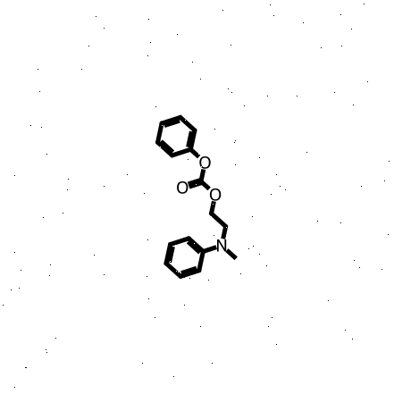 CN(CCOC(=O)Oc1ccccc1)c1ccccc1